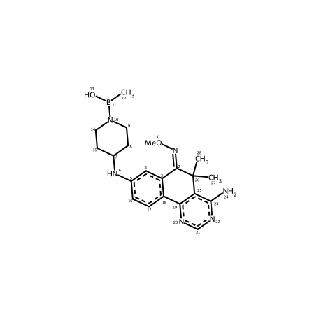 CO/N=C1\c2cc(NC3CCN(B(C)O)CC3)ccc2-c2ncnc(N)c2C1(C)C